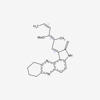 C\C=C/C(OC)=C(C)/C=C1\C(=O)Nc2ccc3nc4c(nc3c21)CCCC4